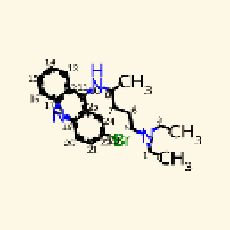 CCN(CC)CCCC(C)Nc1c2ccccc2nc2ccc(Br)cc12